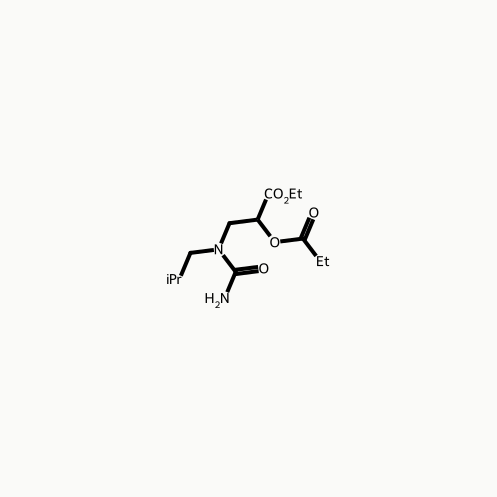 CCOC(=O)C(CN(CC(C)C)C(N)=O)OC(=O)CC